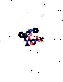 CC(C)(C)OC(=O)N1CCOC(C(=O)N(Cc2cn(CC(=O)Nc3ccccc3)c3ccccc23)C2CC2)C1